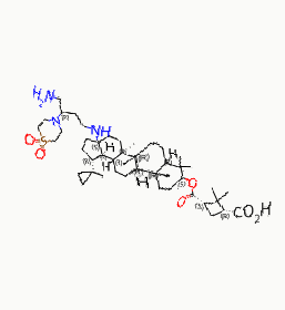 CC1([C@@H]2CC[C@]3(NCC[C@H](CN)N4CCS(=O)(=O)CC4)CC[C@]4(C)[C@H](CC[C@@H]5[C@@]6(C)CC[C@H](OC(=O)[C@H]7C[C@@H](C(=O)O)C7(C)C)C(C)(C)[C@@H]6CC[C@]54C)[C@@H]23)CC1